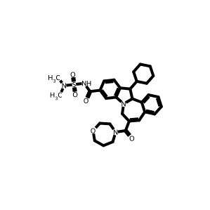 CN(C)S(=O)(=O)NC(=O)c1ccc2c(c1)N1CC(C(=O)N3CCCOCC3)=Cc3ccccc3C1C2C1CCCCC1